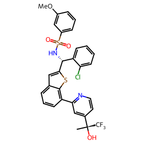 COc1cccc(S(=O)(=O)N[C@@H](c2cc3cccc(-c4cc([C@@](C)(O)C(F)(F)F)ccn4)c3s2)c2ccccc2Cl)c1